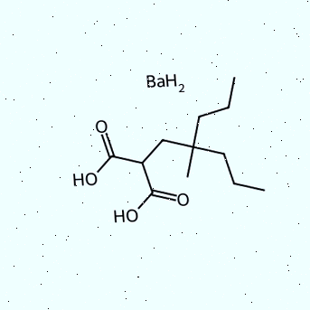 CCCC(C)(CCC)CC(C(=O)O)C(=O)O.[BaH2]